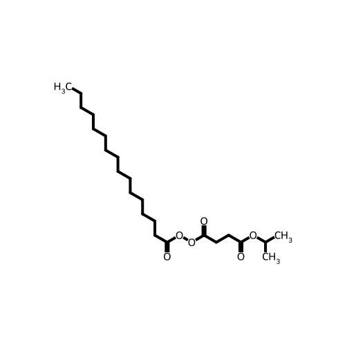 CCCCCCCCCCCCCCCC(=O)OOC(=O)CCC(=O)OC(C)C